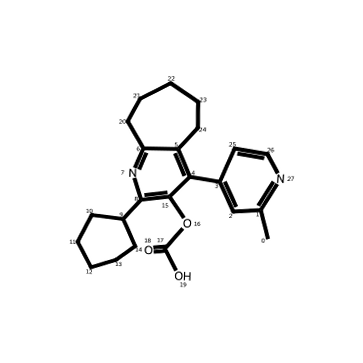 Cc1cc(-c2c3c(nc(C4CCCCC4)c2OC(=O)O)CCCCC3)ccn1